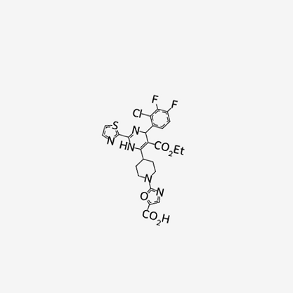 CCOC(=O)C1=C(C2CCN(c3ncc(C(=O)O)o3)CC2)NC(c2nccs2)=NC1c1ccc(F)c(F)c1Cl